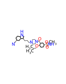 CNS(=O)(=O)c1ccc(OCC(C)C)c(C(=O)N2CCN(CCCc3c[nH]c4ccc(C#N)cc34)CC2)c1